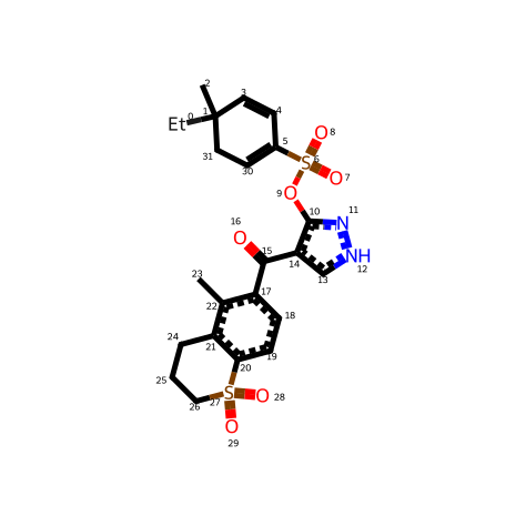 CCC1(C)C=CC(S(=O)(=O)Oc2n[nH]cc2C(=O)c2ccc3c(c2C)CCCS3(=O)=O)=CC1